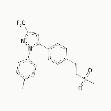 Cc1ccc(-n2nc(C(F)(F)F)cc2-c2ccc(CCS(C)(=O)=O)cc2)cc1